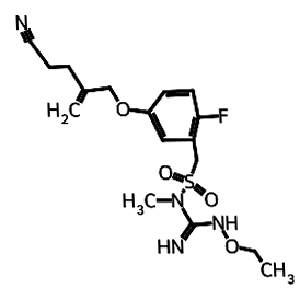 C=C(CCC#N)COc1ccc(F)c(CS(=O)(=O)N(C)C(=N)NOCC)c1